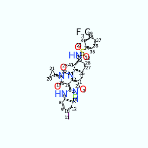 Cc1c(=O)[nH]c(Nc2ccc(I)cc2F)c2c(=O)n(C3CC3)c(=O)n(-c3cccc(NS(=O)(=O)c4cccc(C(F)(F)F)c4)c3)c12